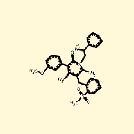 COc1cccc(-c2c(C)c(Cc3ccccc3S(C)(=O)=O)c(C)n(CC(N)c3ccccc3)c2=O)c1